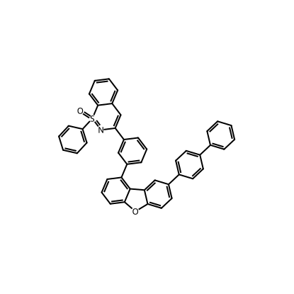 O=S1(c2ccccc2)=NC(c2cccc(-c3cccc4oc5ccc(-c6ccc(-c7ccccc7)cc6)cc5c34)c2)=Cc2ccccc21